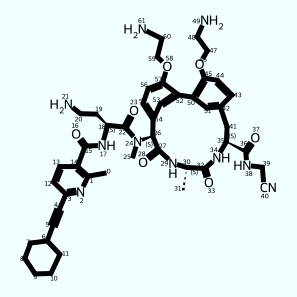 Cc1nc(C#CC2CCCCC2)ccc1C(=O)N[C@@H](CCN)C(=O)N(C)[C@@H]1C(=O)N[C@@H](C)C(=O)N[C@H](C(=O)NCC#N)Cc2ccc(OCCN)c(c2)-c2cc1ccc2OCCN